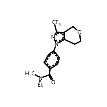 CCN(C)C(=O)c1ccc(-n2nc(C(F)(F)F)c3c2CCOC3)cc1